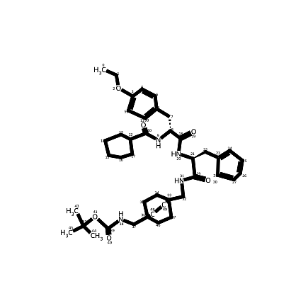 CCOc1ccc(C[C@@H](NC(=O)C2CCCCC2)C(=O)N[C@@H](Cc2ccccc2)C(=O)NCC23CCC(CNC(=O)OC(C)(C)C)(CC2)CC3)cc1